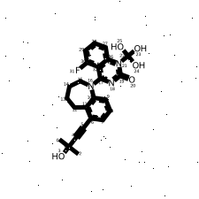 CC(C)(O)C#Cc1cccc2c1CCCCN2c1nc(=O)n(C(O)(O)O)c2cccc(F)c12